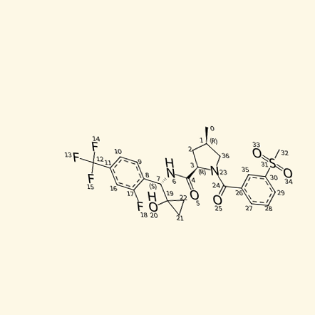 C[C@@H]1C[C@H](C(=O)N[C@@H](c2ccc(C(F)(F)F)cc2F)C2(O)CC2)N(C(=O)c2cccc(S(C)(=O)=O)c2)C1